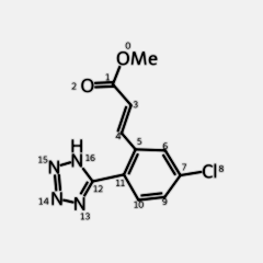 COC(=O)/C=C/c1cc(Cl)ccc1-c1nnn[nH]1